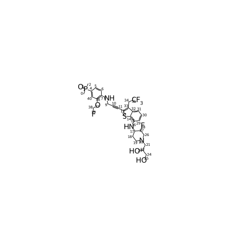 CP(C)(=O)c1ccc(NCC#Cc2sc3c(NC4CCN(CC(O)CO)CC4F)cccc3c2CC(F)(F)F)c(OCF)c1